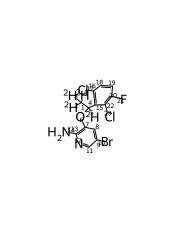 [2H]C([2H])([2H])[C@@]([2H])(Oc1cc(Br)cnc1N)c1c(Cl)ccc(F)c1Cl